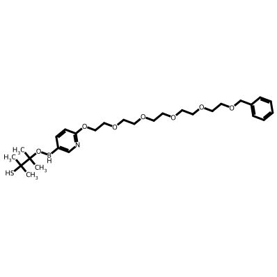 CC(C)(S)C(C)(C)OBc1ccc(OCCOCCOCCOCCOCCOCc2ccccc2)nc1